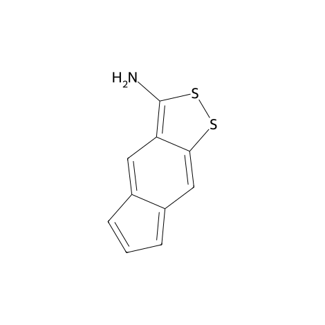 Nc1ssc2cc3cccc3cc12